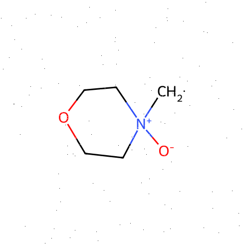 [CH2][N+]1([O-])CCOCC1